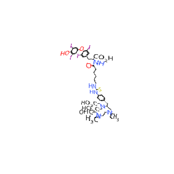 CN(CC=O)CCN(C)CC(Cc1ccc(NC(=S)NCCCCCC(=O)NC(Cc2cc(I)c(Oc3cc(I)c(O)c(I)c3)c(I)c2)C(=O)O)cc1)N(CC(=O)O)CC(=O)O